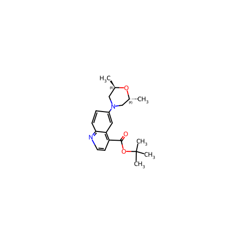 C[C@@H]1CN(c2ccc3nccc(C(=O)OC(C)(C)C)c3c2)C[C@@H](C)O1